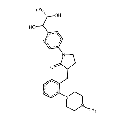 CCC[C@H](O)C(O)c1ccc(N2CC[C@@H](Cc3ccccc3N3CCN(C)CC3)C2=O)cn1